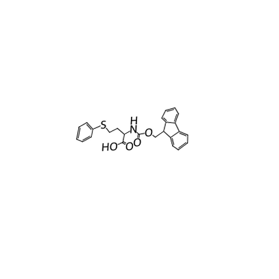 O=C(NC(CCSc1ccccc1)C(=O)O)OCC1c2ccccc2-c2ccccc21